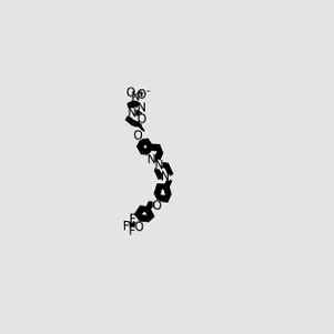 O=[N+]([O-])c1cn2c(n1)O[C@@H](COc1ccc3nc(N4CCN(Cc5ccc(OCc6ccc(OC(F)(F)F)cc6)cc5)CC4)ccc3c1)CC2